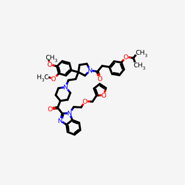 COc1ccc(C2(CCN3CCC(C(=O)c4nc5ccccc5n4CCOCc4ccco4)CC3)CCN(C(=O)Cc3cccc(OC(C)C)c3)C2)cc1OC